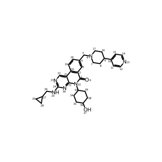 O=c1c2cc(CN3CCC(c4ccncc4)CC3)ccc2c2cnc(NCC3CC3)nc2n1C1CCC(O)CC1